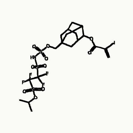 C=C(I)C(=O)OC1C2CC3CC1CC(COS(=O)(=O)NS(=O)(=O)C(F)(F)C(F)(F)S(=O)(=O)OC(C)C)(C3)C2